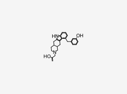 C=C(O)CN1CCC2Cc3[nH]c4cccc(Cc5cccc(O)c5)c4c3CC2C1